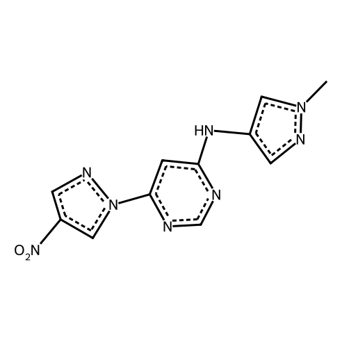 Cn1cc(Nc2cc(-n3cc([N+](=O)[O-])cn3)ncn2)cn1